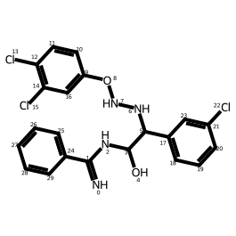 N=C(NC(O)C(NNOc1ccc(Cl)c(Cl)c1)c1cccc(Cl)c1)c1ccccc1